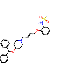 CS(=O)(=O)Nc1ccccc1OC/C=C/CN1CCC(OC(c2ccccc2)c2ccccc2)CC1